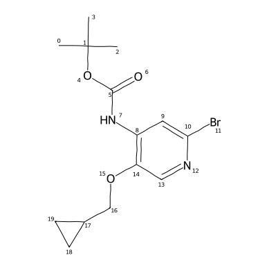 CC(C)(C)OC(=O)Nc1cc(Br)ncc1OCC1CC1